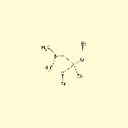 CCOC(O)(CN(C)C)OCC